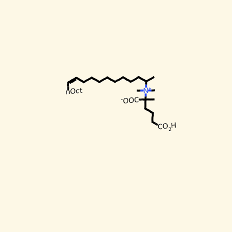 CCCCCCCC/C=C\CCCCCCCCC(C)[N+](C)(C)C(C)(CCCC(=O)O)C(=O)[O-]